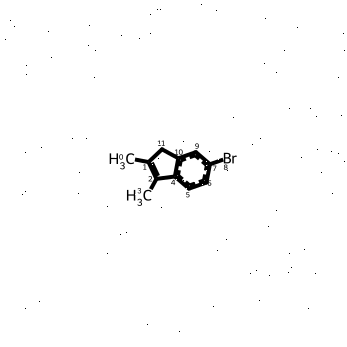 CC1=C(C)c2ccc(Br)cc2C1